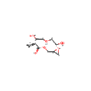 C=CC(=O)OCC1CO1.OCCOCCO